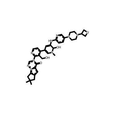 CN1C=C(c2ccnc(-n3cnn4c5c(cc4c3=O)CC(C)(C)C5)c2CO)C=C(Nc2ccc(N3CCN(C4COC4)CC3)cn2)C1O